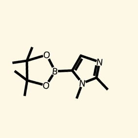 Cc1ncc(B2OC(C)(C)C(C)(C)O2)n1C